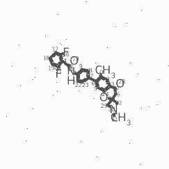 Cc1cc2c(cc1-c1ccc(NC(=O)c3c(F)cccc3F)cc1)OC1(CC2=O)CN(C)C1